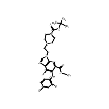 COC(=O)c1cc2c(ncn2CCN2CCN(C(=O)OC(C)(C)C)CC2)c(F)c1Nc1ccc(Br)cc1Cl